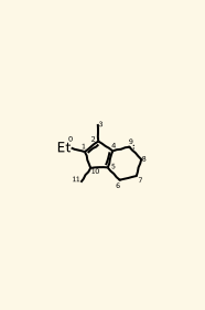 CCC1=C(C)C2=C(CCC[C]2)C1C